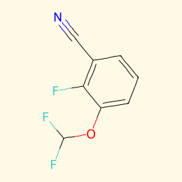 N#Cc1cccc(OC(F)F)c1F